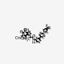 C[C@@H](C(=O)Nc1cncc(-c2cnc(N3CC4C(C3)C4(F)F)nc2)n1)n1cnc2c1c(=O)n(CC=O)c(=O)n2C